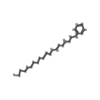 CCCCCCCCCCCCCCCCOCCCc1cc[c]cc1